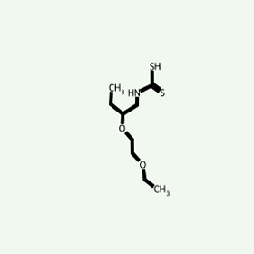 CCOCCOC(CC)CNC(=S)S